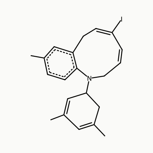 CC1=CC(N2C/C=C\C(I)=C/Cc3cc(C)ccc32)CC(C)=C1